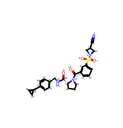 N#CC1CN(S(=O)(=O)c2cccc(C(=O)N3CCC[C@@H]3C(=O)NCc3ccc(C4CC4)cc3)c2)C1